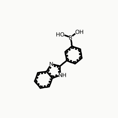 OB(O)c1cccc(-c2nc3ccccc3[nH]2)c1